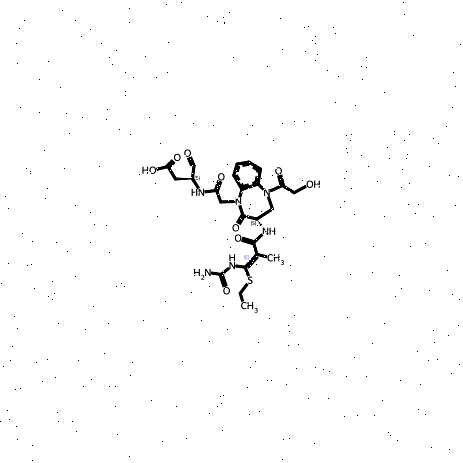 CCS/C(NC(N)=O)=C(\C)C(=O)N[C@H]1CN(C(=O)CO)c2ccccc2N(CC(=O)N[C@H](C=O)CC(=O)O)C1=O